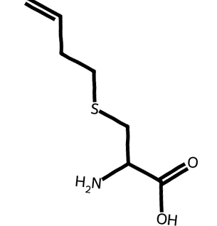 C=CCCSCC(N)C(=O)O